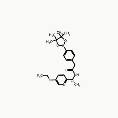 C[C@@H](NC(=O)Cc1ccc(B2OC(C)(C)C(C)(C)O2)cc1)c1ccc(OCC(F)(F)F)cn1